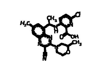 Cc1cc([C@@H](C)Nc2ccc(Cl)nc2C(=O)O)c2nc(N3CCOC(C)C3)c(C#N)nc2c1